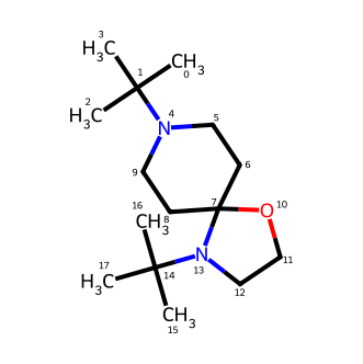 CC(C)(C)N1CCC2(CC1)OCCN2C(C)(C)C